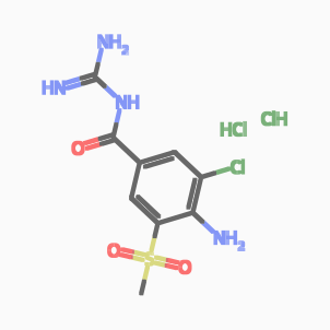 CS(=O)(=O)c1cc(C(=O)NC(=N)N)cc(Cl)c1N.Cl.Cl